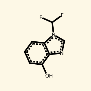 Oc1cccc2c1n[c]n2C(F)F